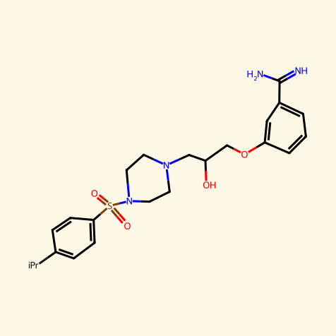 CC(C)c1ccc(S(=O)(=O)N2CCN(CC(O)COc3cccc(C(=N)N)c3)CC2)cc1